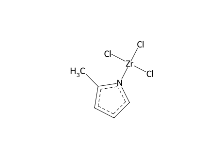 Cc1ccc[n]1[Zr]([Cl])([Cl])[Cl]